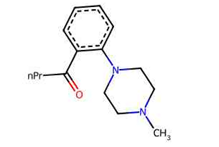 CCCC(=O)c1ccccc1N1CCN(C)CC1